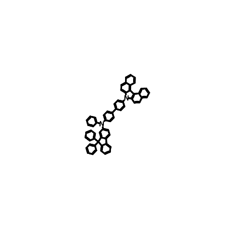 c1ccc(N(c2ccc(-c3ccc(-n4c5ccc6ccccc6c5c5c6ccccc6ccc54)cc3)cc2)c2ccc3c(c2)C(c2ccccc2)(c2ccccc2)c2ccccc2-3)cc1